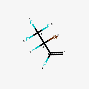 C=C(F)C(F)(Br)C(F)(F)F